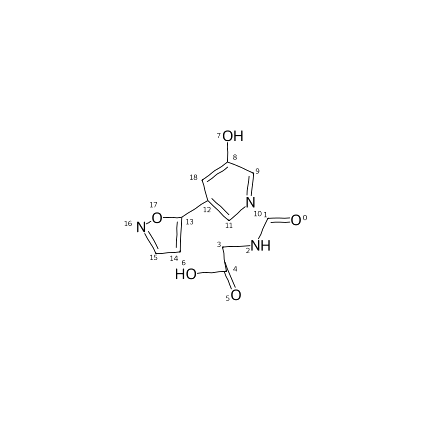 O=CNCC(=O)O.Oc1cncc(-c2ccno2)c1